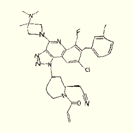 C=CC(=O)N1CCC(n2nnc3c(N4CC(C)(N(C)C)C4)nc4c(F)c(-c5cccc(C)c5)c(Cl)cc4c32)C[C@H]1CC#N